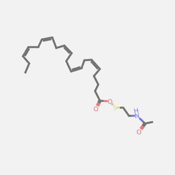 CC/C=C\C/C=C\C/C=C\C/C=C\C/C=C\CCCC(=O)OSCCNC(C)=O